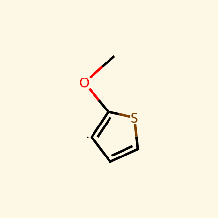 COc1[c]ccs1